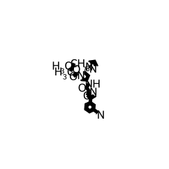 CC(C)(C)OC(=O)N1C[C@H](NC(=O)c2ncc(-c3cccc(C#N)c3)o2)C[C@H]1Cn1cccn1